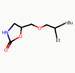 CCCCC(CC)COCC1CNC(=O)O1